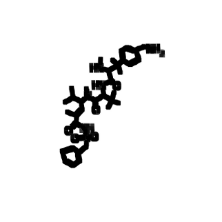 CNC(C(=O)NC(C(=O)N(C)C(C=C(C)C(=O)NS(=O)(=O)Cc1ccccc1)C(C)C)C(C)(C)C)C(C)(C)c1ccc(CN)cc1